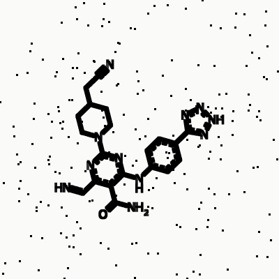 N#CCC1CCN(c2nc(C=N)c(C(N)=O)c(Nc3ccc(-c4nn[nH]n4)cc3)n2)CC1